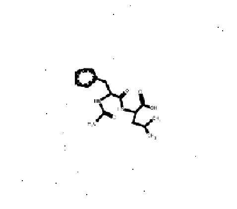 CC(=O)NC(Cc1ccccc1)C(=O)NC(CC(C)C)C(=O)O